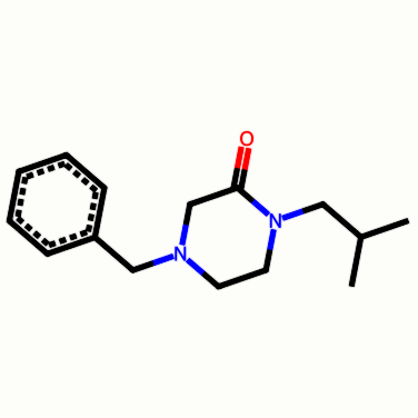 CC(C)CN1CCN(Cc2ccccc2)CC1=O